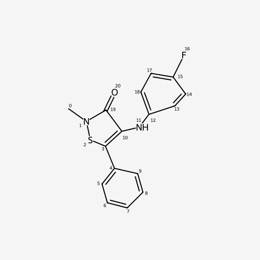 Cn1sc(-c2ccccc2)c(Nc2ccc(F)cc2)c1=O